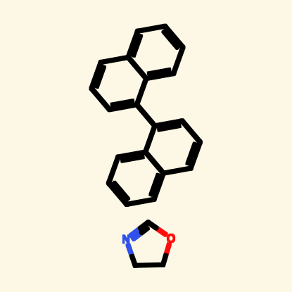 C1=NCCO1.c1ccc2c(-c3cccc4ccccc34)cccc2c1